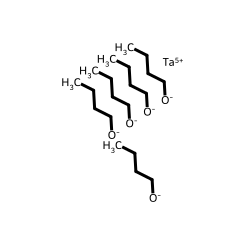 CCCC[O-].CCCC[O-].CCCC[O-].CCCC[O-].CCCC[O-].[Ta+5]